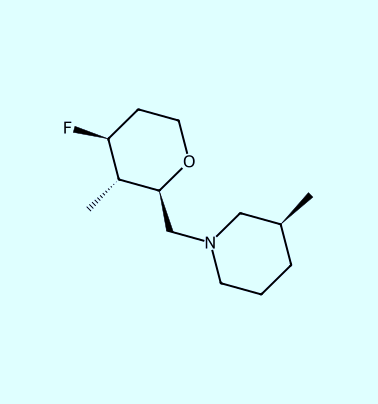 C[C@H]1CCCN(C[C@@H]2OCC[C@H](F)[C@H]2C)C1